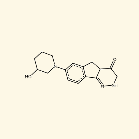 O=C1CNN=C2c3ccc(N4CCCC(O)C4)cc3CC12